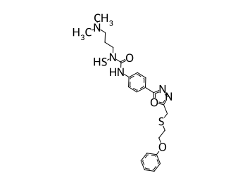 CN(C)CCCN(S)C(=O)Nc1ccc(-c2nnc(CSCCOc3ccccc3)o2)cc1